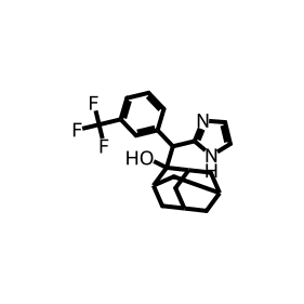 OC1(C(c2cccc(C(F)(F)F)c2)c2ncc[nH]2)C2CC3CC(C2)CC1C3